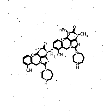 CCCn1c(=O)c2c(nc(N3CCCNCC3)n2Cc2ccccc2C#N)n(C)c1=O.Cn1c(=O)[nH]c(=O)c2c1nc(N1CCCNCC1)n2Cc1ccccc1C#N